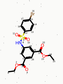 CCOC(=O)c1cc(NS(=O)(=O)c2ccc(Br)cc2)cc(C(=O)OCC)c1